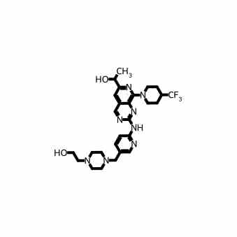 CC(O)c1cc2cnc(Nc3ccc(CN4CCN(CCO)CC4)cn3)nc2c(N2CCC(C(F)(F)F)CC2)n1